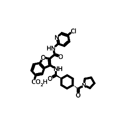 O=C(O)c1ccc2oc(C(=O)Nc3ccc(Cl)cn3)c(NC(=O)[C@H]3CC[C@H](C(=O)N4CCCC4)CC3)c2c1